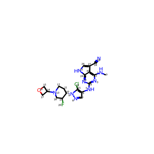 CNc1nc(Nc2cnn([C@H]3CCN(C4COC4)C[C@@H]3F)c2Cl)nc2[nH]cc(C#N)c12